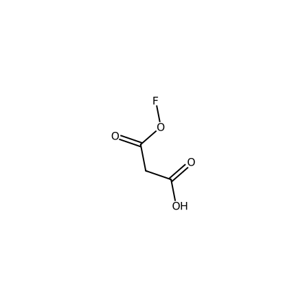 O=C(O)CC(=O)OF